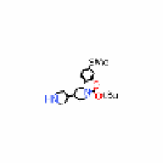 CSc1ccc([C@H]2CC(C3CCNCC3)CCN2C(=O)OC(C)(C)C)cc1